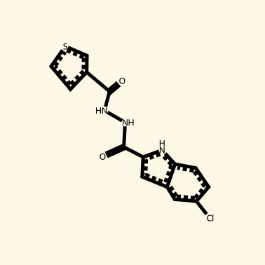 O=C(NNC(=O)c1cc2cc(Cl)ccc2[nH]1)c1ccsc1